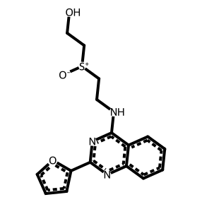 [O-][S+](CCO)CCNc1nc(-c2ccco2)nc2ccccc12